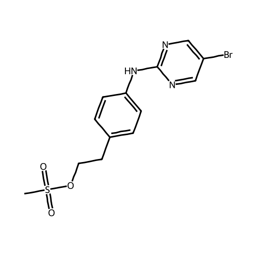 CS(=O)(=O)OCCc1ccc(Nc2ncc(Br)cn2)cc1